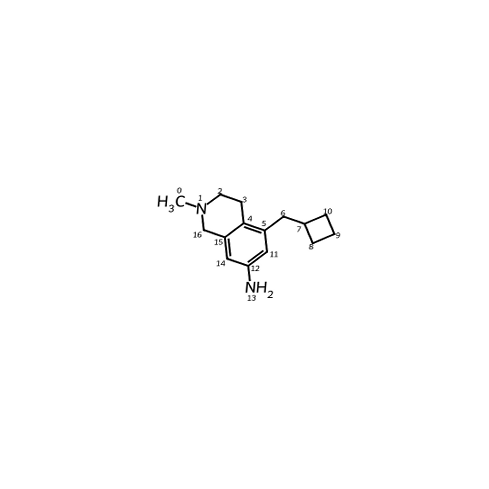 CN1CCc2c(CC3CCC3)cc(N)cc2C1